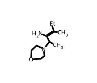 CC/C(C)=C(\N)C(C)N1CCOCC1